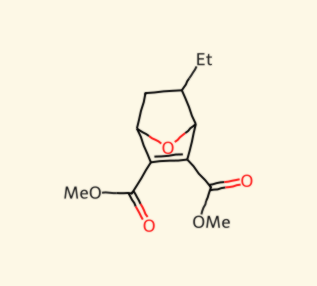 CCC1CC2OC1C(C(=O)OC)=C2C(=O)OC